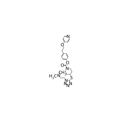 CN(C)CCn1nnnc1SC1CCN(C(=O)Oc2ccc(CCOc3ccncc3)cc2)CC1